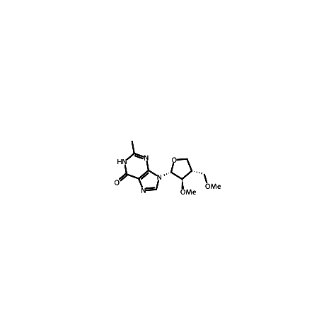 COC[C@H]1CO[C@@H](n2cnc3c(=O)[nH]c(C)nc32)[C@@H]1OC